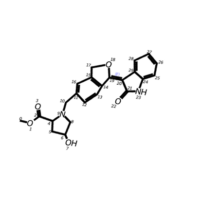 COC(=O)C1CC(O)CN1Cc1ccc2c(c1)CO/C2=C1/C(=O)Nc2ccccc21